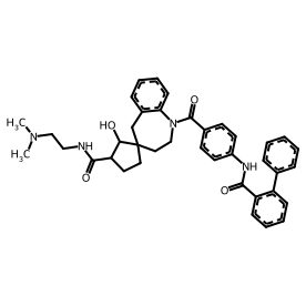 CN(C)CCNC(=O)C1CCC2(CCN(C(=O)c3ccc(NC(=O)c4ccccc4-c4ccccc4)cc3)c3ccccc3C2)C1O